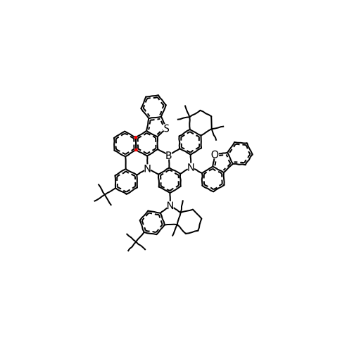 CC(C)(C)c1ccc(N2c3cc(N4c5ccc(C(C)(C)C)cc5C5(C)CCCCC45C)cc4c3B(c3cc5c(cc3N4c3cccc4c3oc3ccccc34)C(C)(C)CCC5(C)C)c3c2ccc2c3sc3ccccc32)c(-c2ccccc2)c1